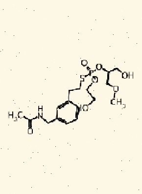 COCC(CO)OP(=O)(OCCO)SCCc1cccc(CNC(C)=O)c1